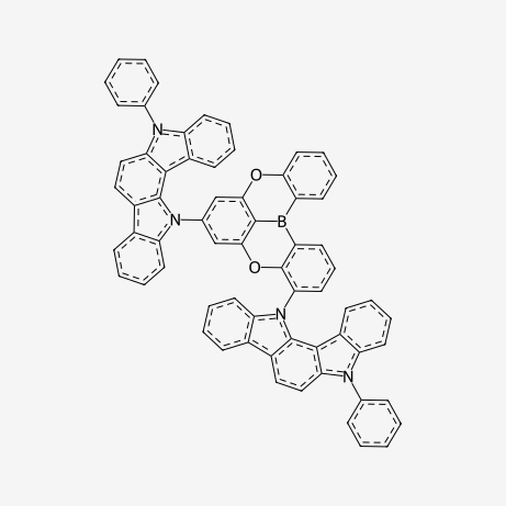 c1ccc(-n2c3ccccc3c3c2ccc2c4ccccc4n(-c4cc5c6c(c4)Oc4c(cccc4-n4c7ccccc7c7ccc8c(c9ccccc9n8-c8ccccc8)c74)B6c4ccccc4O5)c23)cc1